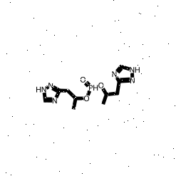 CC(Cc1nc[nH]n1)O[PH](=O)OC(C)Cc1nc[nH]n1